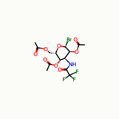 CC(=O)OC[C@@H]1O[C@@H](Br)[C@@H](OC(C)=O)[C@@H](NC(=O)C(F)(F)F)[C@H]1OC(C)=O